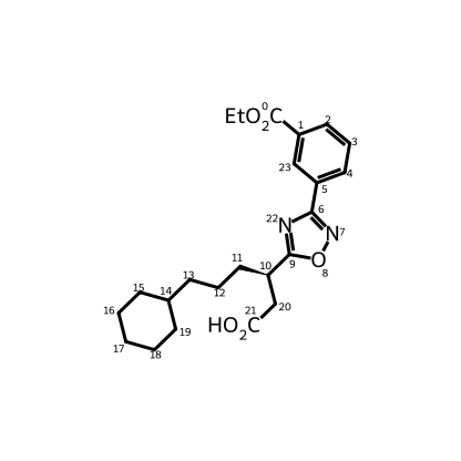 CCOC(=O)c1cccc(-c2noc([C@H](CCCC3CCCCC3)CC(=O)O)n2)c1